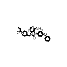 CCC(=O)N1CCC(Cn2c(=O)n(-c3ccc(Oc4ccccc4)cc3)c3c(N)ncnc32)CC1